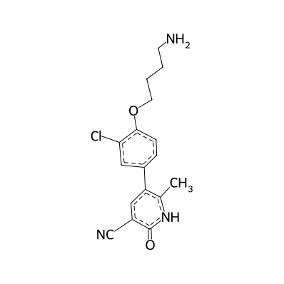 Cc1[nH]c(=O)c(C#N)cc1-c1ccc(OCCCCN)c(Cl)c1